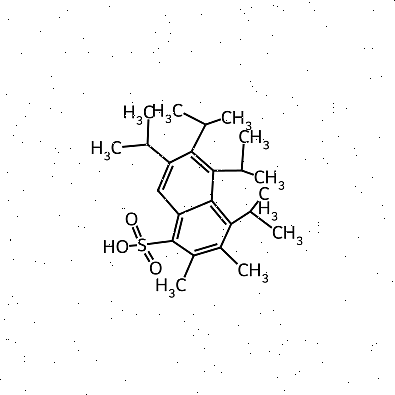 Cc1c(C)c(C(C)C)c2c(C(C)C)c(C(C)C)c(C(C)C)cc2c1S(=O)(=O)O